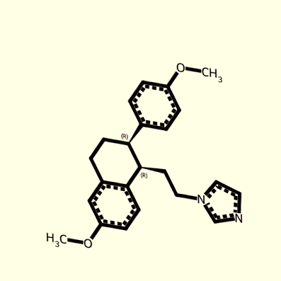 COc1ccc([C@@H]2CCc3cc(OC)ccc3[C@@H]2CCn2ccnc2)cc1